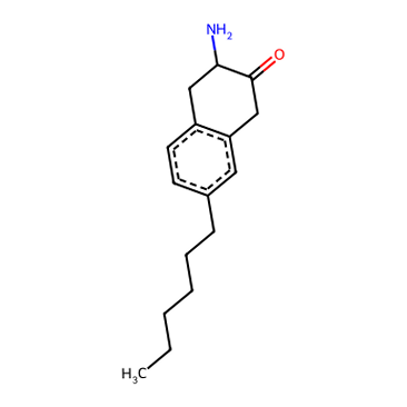 CCCCCCc1ccc2c(c1)CC(=O)C(N)C2